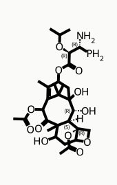 CC(=O)OC1C(=O)C2(C)C(O)CC3OC[C@]3(OC(C)=O)[C@@H]2[C@@H](O)C2(O)CC(OC(=O)[C@@H](OC(C)C)[C@H](N)P)C(C)=C1C2(C)C